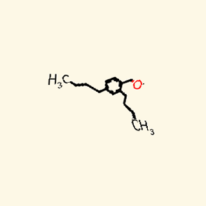 CCCCc1ccc(C[O])c(CCCC)c1